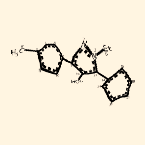 CCn1nc(-c2ccc(C)cc2)c(O)c1-c1ccccc1